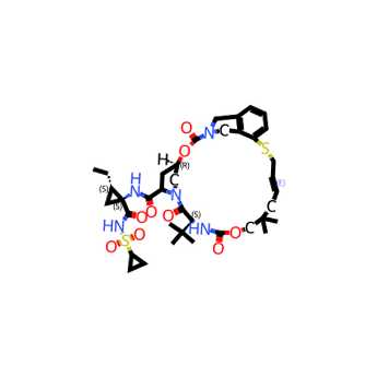 CC[C@H]1C[C@@]1(NC(=O)C1C[C@@H]2CN1C(=O)[C@H](C(C)(C)C)NC(=O)OCC(C)(C)C/C=C/CSc1cccc3c1CN(C3)C(=O)O2)C(=O)NS(=O)(=O)C1CC1